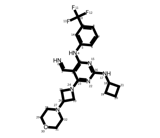 N=Cc1c(Nc2cccc(C(F)(F)F)c2)nc(NC2CCC2)nc1N1CC(N2CCOCC2)C1